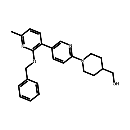 Cc1ccc(-c2ccc(N3CCC(CO)CC3)nc2)c(OCc2ccccc2)n1